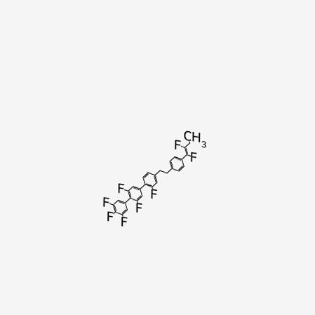 CC/C(F)=C(\F)c1ccc(CCc2ccc(-c3cc(F)c(-c4cc(F)c(F)c(F)c4)c(F)c3)c(F)c2)cc1